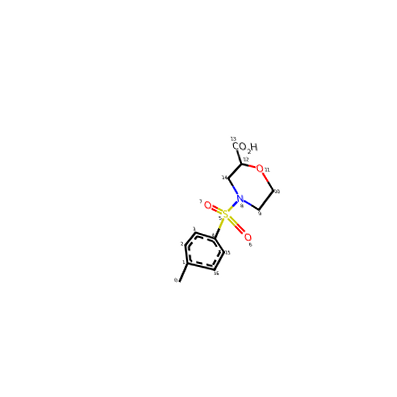 Cc1ccc(S(=O)(=O)N2CCOC(C(=O)O)C2)cc1